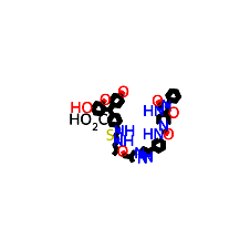 CC(COC(C)CNC(=S)Nc1ccc(-c2c3ccc(=O)cc-3oc3cc(O)ccc23)c(C(=O)O)c1)Cn1cc(-c2cccc(NC(=O)N3CCC4(CC3)NC(=O)N(c3ccccc3)C4=O)c2)nn1